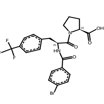 O=C(N[C@@H](Cc1ccc(C(F)(F)F)cc1)C(=O)N1CCC[C@H]1C(=O)O)c1ccc(Br)cc1